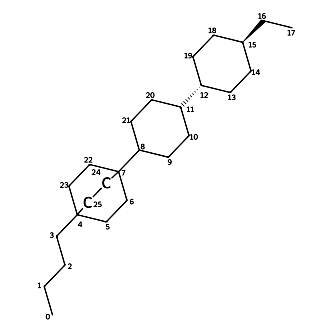 CCCCC12CCC(C3CCC([C@H]4CC[C@H](CC)CC4)CC3)(CC1)CC2